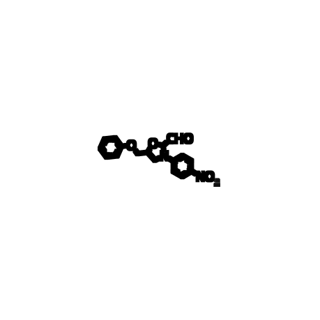 O=CC1OC(COc2ccccc2)CN1c1ccc([N+](=O)[O-])cc1